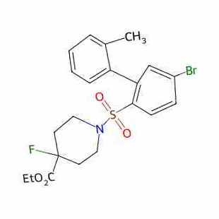 CCOC(=O)C1(F)CCN(S(=O)(=O)c2ccc(Br)cc2-c2ccccc2C)CC1